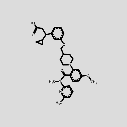 COc1ccc(C(=O)N(C)c2cccc(C)n2)c(N2CCC(COc3cccc(C(CC(=O)O)C4CC4)c3)CC2)c1